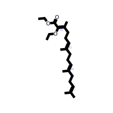 CCOC(=O)/C(OCC)=C(\C)CC/C=C(\C)CC/C=C(\C)CCC=C(C)C